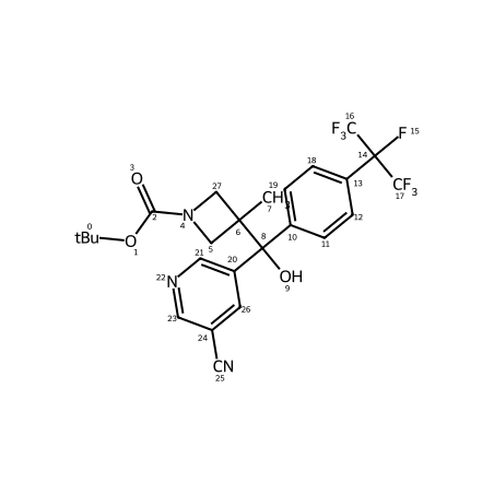 CC(C)(C)OC(=O)N1CC(C)(C(O)(c2ccc(C(F)(C(F)(F)F)C(F)(F)F)cc2)c2cncc(C#N)c2)C1